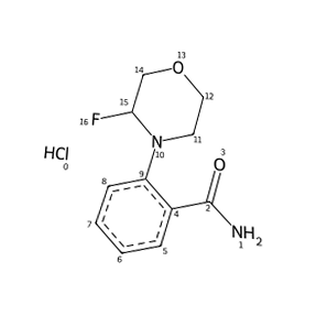 Cl.NC(=O)c1ccccc1N1CCOCC1F